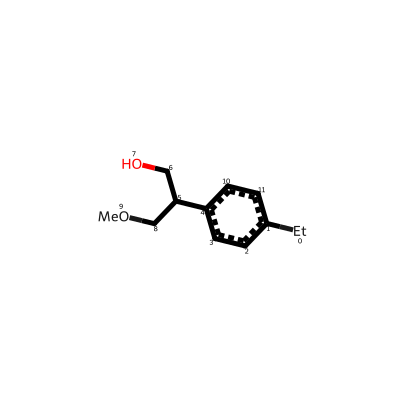 CCc1ccc(C(CO)COC)cc1